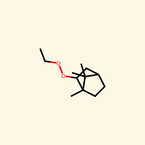 CCOOC1CC2CCC1(C)C2(C)C